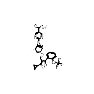 CCC12C(C[C@@H](OCc3c(-c4ccccc4OC(F)(F)F)noc3C3CC3)C[C@@H]1C)N2c1ncc(C(=O)O)cn1